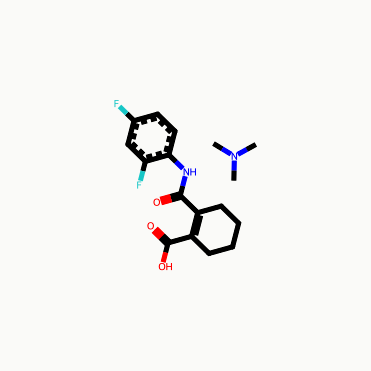 CN(C)C.O=C(O)C1=C(C(=O)Nc2ccc(F)cc2F)CCCC1